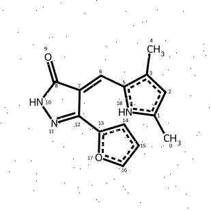 Cc1cc(C)c(/C=C2/C(=O)NN=C2c2ccco2)[nH]1